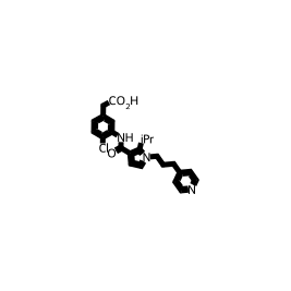 CC(C)c1c(C(=O)Nc2cc(CC(=O)O)ccc2Cl)ccn1CCCc1ccncc1